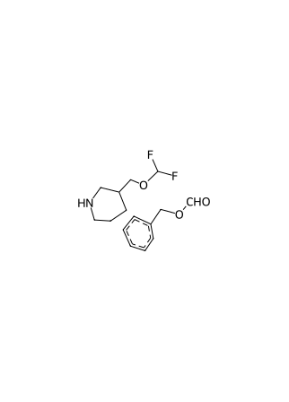 FC(F)OCC1CCCNC1.O=COCc1ccccc1